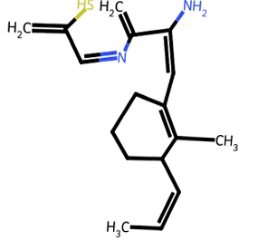 C=C(S)/C=N\C(=C)/C(N)=C\C1=C(C)C(/C=C\C)CCC1